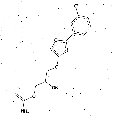 NC(=O)OCC(O)COc1cc(-c2cccc(Cl)c2)on1